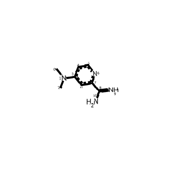 CN(C)c1ccnc(C(=N)N)c1